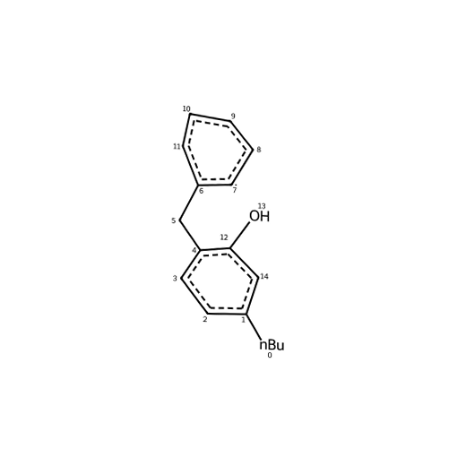 CCCCc1ccc(Cc2[c]cccc2)c(O)c1